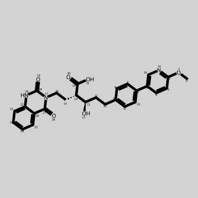 COc1ccc(-c2ccc(CC[C@@H](O)[C@H](CCn3c(=O)[nH]c4ccccc4c3=O)C(=O)O)cc2)cn1